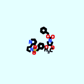 COC1CN(C(=O)OCc2ccccc2)CC1Oc1cccc(CS(=O)(=O)N2CCCC2c2ccccn2)c1